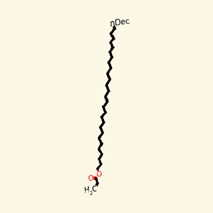 C=CC(=O)OCCCCCCCCCCCCCCCCCCCCCCCCCCCCCCCCCCCCCC